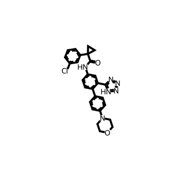 O=C(Nc1ccc(-c2ccc(N3CCOCC3)cc2)c(-c2nnn[nH]2)c1)C1(c2cccc(Cl)c2)CC1